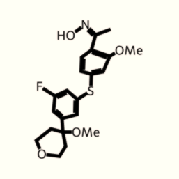 COc1cc(Sc2cc(F)cc(C3(OC)CCOCC3)c2)ccc1/C(C)=N\O